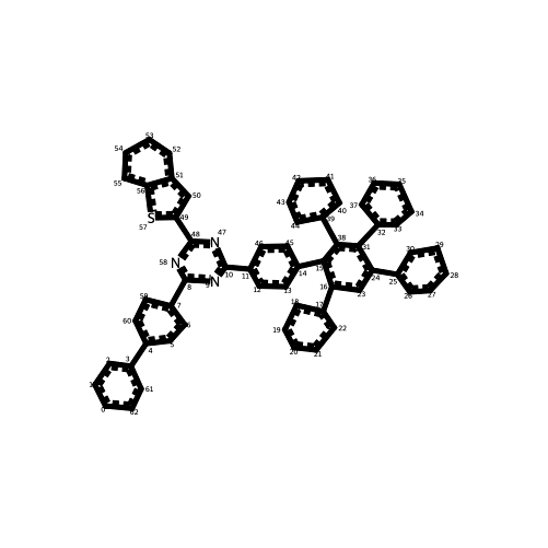 c1ccc(-c2ccc(-c3nc(-c4ccc(-c5c(-c6ccccc6)cc(-c6ccccc6)c(-c6ccccc6)c5-c5ccccc5)cc4)nc(-c4cc5ccccc5s4)n3)cc2)cc1